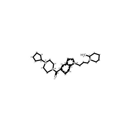 CC1CCCCN1CCCn1ccc2cc(C(=O)N3CCN(C4CCCC4)CC3)ccc21